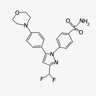 NS(=O)(=O)c1ccc(-n2nc(C(F)F)cc2-c2ccc(N3CCOCC3)cc2)cc1